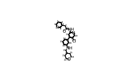 O=C(Cc1cccnc1)Nc1cc(-c2cccc(NCC3CCOCC3)c2)c(Cl)cn1